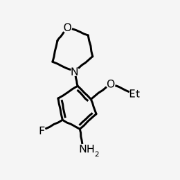 CCOc1cc(N)c(F)cc1N1CCOCC1